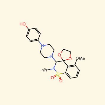 CCCN1C(N2CCN(c3ccc(O)cc3)CC2)C2(OCCO2)c2c(OC)cccc2S1(=O)=O